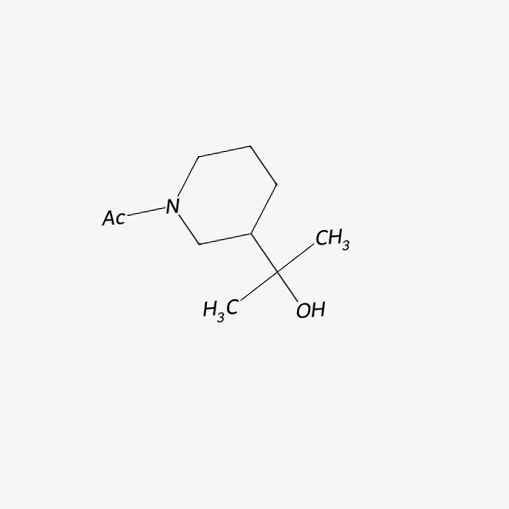 CC(=O)N1CCCC(C(C)(C)O)C1